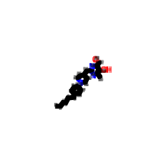 CCCCCCc1ccc(N2CCC(Cc3nc(C)c(O)c([C]=O)n3)CC2)cc1